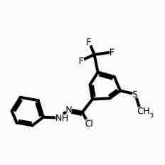 CSc1cc(C(Cl)=NNc2ccccc2)cc(C(F)(F)F)c1